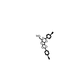 C#Cc1ccc(C2OC3OC4C(CO)OC(c5ccc(C#C)cc5)OC4C3O2)cc1